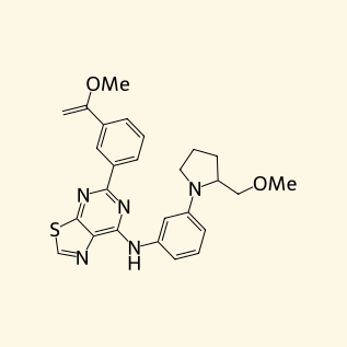 C=C(OC)c1cccc(-c2nc(Nc3cccc(N4CCCC4COC)c3)c3ncsc3n2)c1